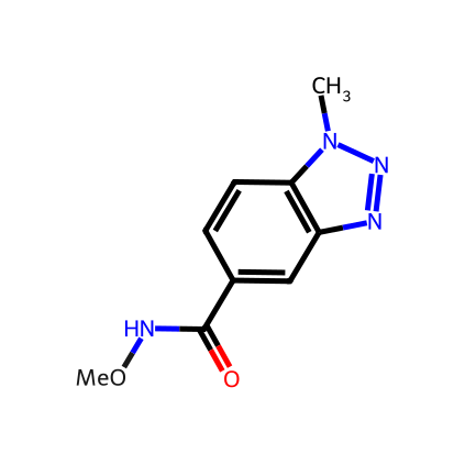 CONC(=O)c1ccc2c(c1)nnn2C